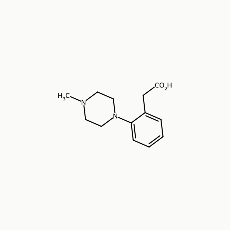 CN1CCN(c2ccccc2CC(=O)O)CC1